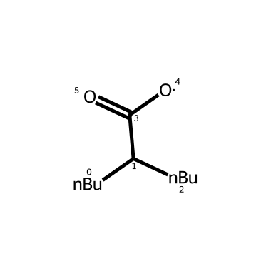 CCCCC(CCCC)C([O])=O